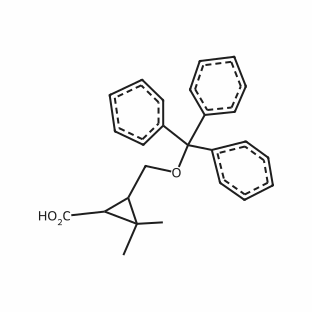 CC1(C)C(COC(c2ccccc2)(c2ccccc2)c2ccccc2)C1C(=O)O